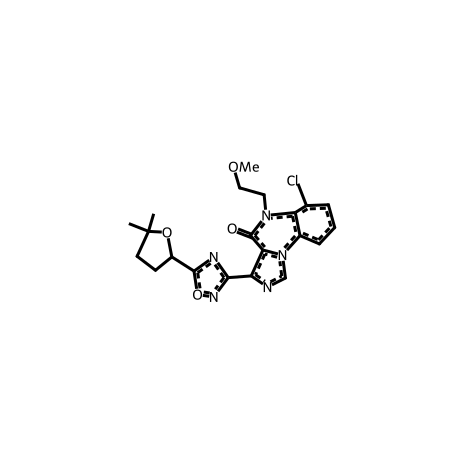 COCCn1c(=O)c2c(-c3noc(C4CCC(C)(C)O4)n3)ncn2c2cccc(Cl)c21